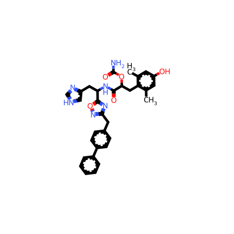 Cc1cc(O)cc(C)c1CC(OC(N)=O)C(=O)NC(Cc1c[nH]cn1)c1nc(Cc2ccc(-c3ccccc3)cc2)no1